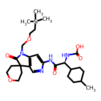 CC1CCC([C@H](NC(=O)O)C(=O)Nc2cc3c(cn2)C2(CCOCC2)C(=O)N3COCC[Si](C)(C)C)CC1